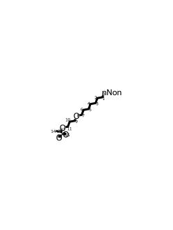 CCCCCCCCCCCCCCCCOCCCOS(C)(=O)=O